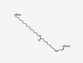 CCCCC/C=C\C/C=C\CCCCCCCC(=O)OCCCCCCCCCCCCCCCCCCCCCCC